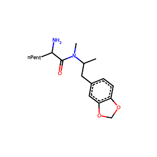 CCCCCC(N)C(=O)N(C)C(C)Cc1ccc2c(c1)OCO2